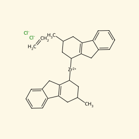 C=C.CC1CC2=C(Cc3ccccc32)[CH]([Zr+2][CH]2CC(C)CC3=C2Cc2ccccc23)C1.[Cl-].[Cl-]